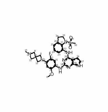 COc1cc(N2CC3(CN(C)C3)C2)c(F)cc1Nc1nc(Nc2cccc3c2N(S(C)(=O)=O)CC3)c2cc[nH]c2n1